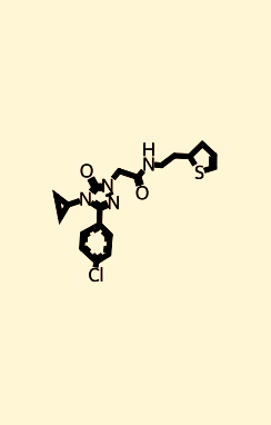 O=C(Cn1nc(-c2ccc(Cl)cc2)n(C2CC2)c1=O)NCCC1CC=CS1